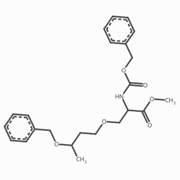 COC(=O)C(COCCC(C)OCc1ccccc1)NC(=O)OCc1ccccc1